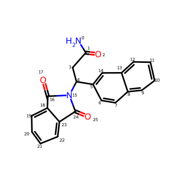 NC(=O)CC(c1ccc2ccccc2c1)N1C(=O)c2ccccc2C1=O